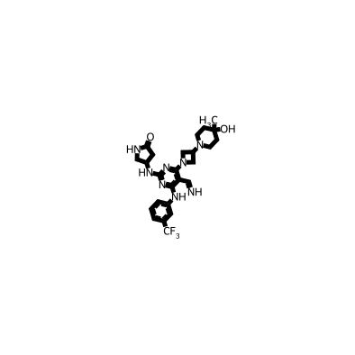 CC1(O)CCN(C2CN(c3nc(NC4CNC(=O)C4)nc(Nc4cccc(C(F)(F)F)c4)c3C=N)C2)CC1